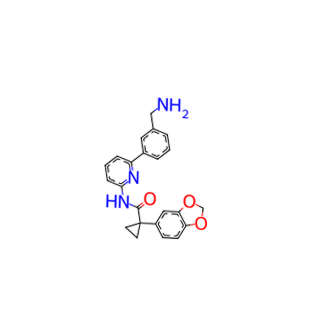 NCc1cccc(-c2cccc(NC(=O)C3(c4ccc5c(c4)OCO5)CC3)n2)c1